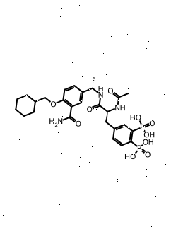 CC(=O)N[C@@H](Cc1ccc(P(=O)(O)O)c(P(=O)(O)O)c1)C(=O)N[C@@H](C)c1ccc(OCC2CCCCC2)c(C(N)=O)c1